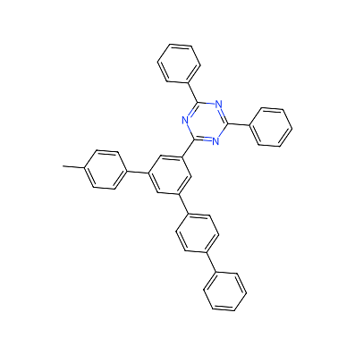 Cc1ccc(-c2cc(-c3ccc(-c4ccccc4)cc3)cc(-c3nc(-c4ccccc4)nc(-c4ccccc4)n3)c2)cc1